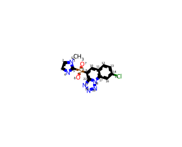 Cn1ccnc1S(=O)(=O)c1cc2ccc(Cl)cc2n2nnnc12